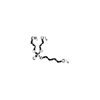 CCCCCOP(=O)(OCCC)OCCC